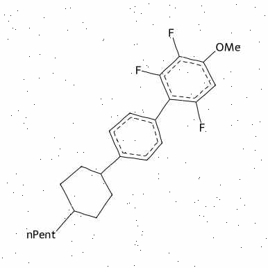 CCCCCC1CCC(c2ccc(-c3c(F)cc(OC)c(F)c3F)cc2)CC1